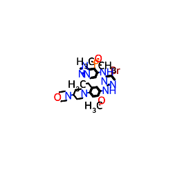 CCc1cc(Nc2ncc(Br)c(Nc3ccn4ncnc4c3P(C)(C)=O)n2)c(OC)cc1N1CCC(N2CCOCC2)CC1